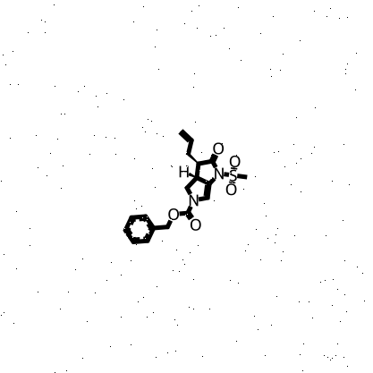 C=CC[C@H]1C(=O)N(S(C)(=O)=O)C2=CN(C(=O)OCc3ccccc3)C[C@@H]21